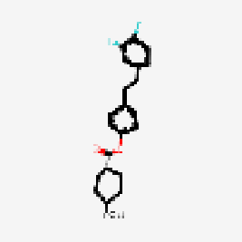 CCCCCCCC[C@H]1CC[C@H](C(=O)Oc2ccc(CCc3ccc(F)c(F)c3)cc2)CC1